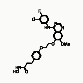 COc1cc2ncnc(Nc3ccc(F)c(Cl)c3)c2cc1OCCOc1ccc(C=CC(=O)NO)cc1